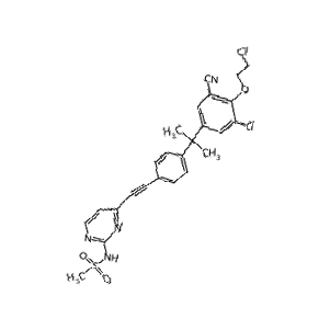 CC(C)(c1ccc(C#Cc2ccnc(NS(C)(=O)=O)n2)cc1)c1cc(Cl)c(OCCCl)c(C#N)c1